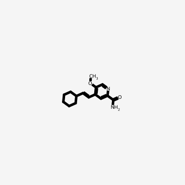 COc1cnc(C(N)=O)cc1/C=C/C1CCCCC1